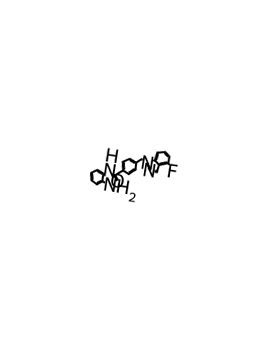 Nc1ccccc1NC(=O)c1ccc(Cn2ncc3c(F)cccc32)cc1